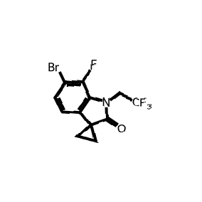 O=C1N(CC(F)(F)F)c2c(ccc(Br)c2F)C12CC2